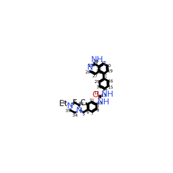 CCN1CCN(Cc2ccc(NC(=O)Nc3ccc(-c4cccc5c(N)nccc45)cc3)cc2C(F)(F)F)CC1